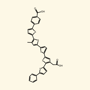 Cc1cc(-c2ccc(-c3cc(CC(=O)O)c(-c4ccc(-c5ccccc5)s4)s3)s2)sc1-c1ccc(-c2ccc(C(=O)O)cc2)s1